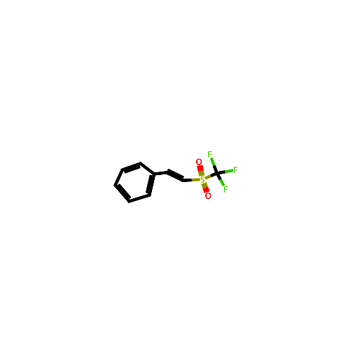 O=S(=O)(/C=C/c1ccccc1)C(F)(F)F